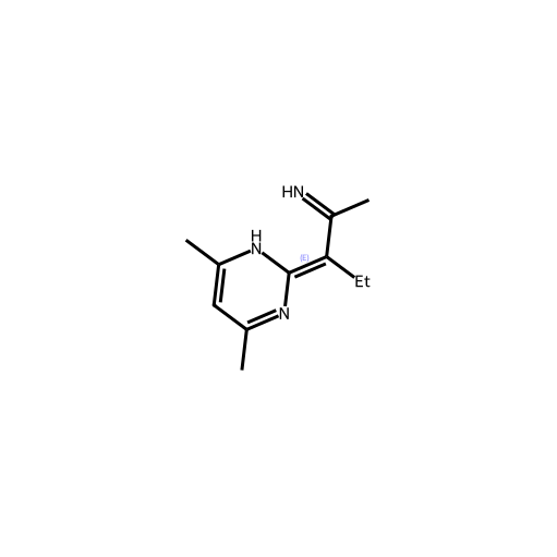 CC/C(C(C)=N)=C1\N=C(C)C=C(C)N1